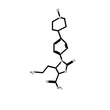 NCCC1C(C(N)=O)OC(=O)N1c1ccc(C2CC[S+]([O-])CC2)cc1